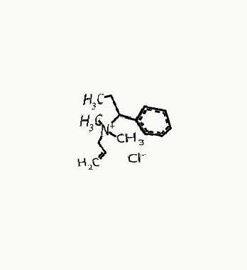 C=CC[N+](C)(C)C(CC)c1ccccc1.[Cl-]